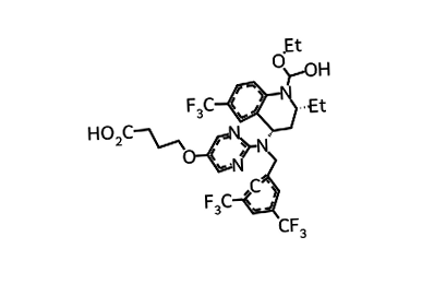 CCOC(O)N1c2ccc(C(F)(F)F)cc2[C@@H](N(Cc2cc(C(F)(F)F)cc(C(F)(F)F)c2)c2ncc(OCCCC(=O)O)cn2)C[C@H]1CC